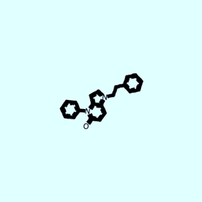 O=c1ccc2c(ccn2CCc2ccccc2)n1-c1ccccc1